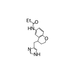 CCC(=O)Nc1ccc2c(c1)C(Cc1c[nH]cn1)CCO2